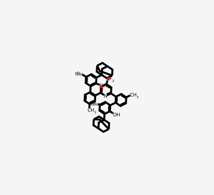 Cc1ccc(-c2cc(C(C)(C)C)cc(C34CC5CC(CC(C5)C3)C4)c2O)c(-c2cc(C(F)(F)F)cc(-c3cc(C)ccc3-c3cc(C(C)(C)C)cc(C45CC6CC(CC(C6)C4)C5)c3O)n2)c1